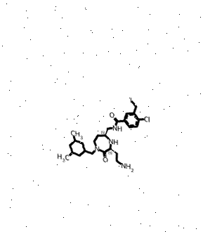 CC1CC(C)CC(CN2CC[C@@H](CNC(=O)c3ccc(Cl)c(CI)c3)N[C@@H](CCN)C2=O)C1